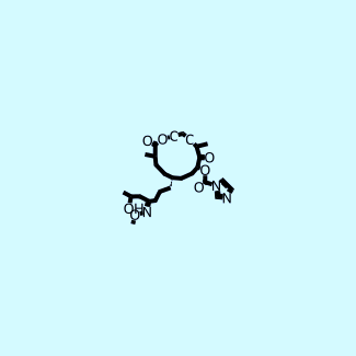 CO/N=C(/CCC[C@@H]1CCC(C)C(=O)OCCCC(C)C(=O)C(OC(=O)n2ccnc2)CC1)CC(C)O